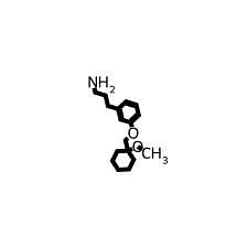 COC1(COc2cccc(CCCN)c2)CCCCC1